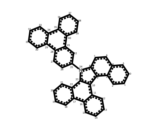 c1ccc2c(c1)ccc1c2c2c3ccccc3c3ccccc3c2n1-c1ccc2c3ccccc3c3ccccc3c2c1